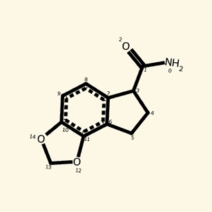 NC(=O)C1CCc2c1ccc1c2OCO1